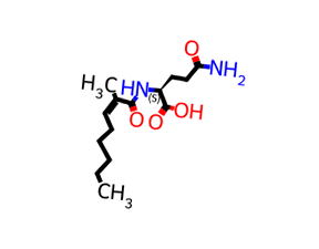 CCCCCC=C(C)C(=O)N[C@@H](CCC(N)=O)C(=O)O